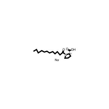 CCCCCCCCCCCC(=O)N1CCC[C@H]1C(=O)O.[Na]